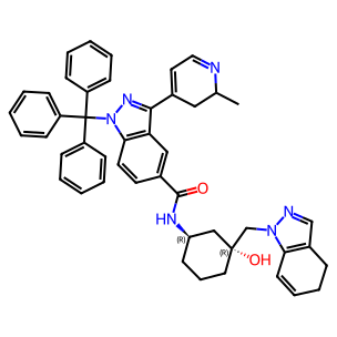 CC1CC(c2nn(C(c3ccccc3)(c3ccccc3)c3ccccc3)c3ccc(C(=O)N[C@@H]4CCC[C@](O)(Cn5ncc6c5C=CCC6)C4)cc23)=CC=N1